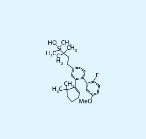 COc1ccc(F)c(-c2ccc(CCC(C)(C)[Si](C)(C)O)cc2C2=CCCCC2(C)C)c1